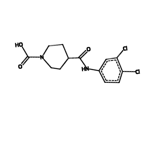 O=C(Nc1ccc(Cl)c(Cl)c1)C1CCN(C(=O)O)CC1